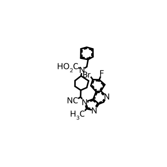 Cc1nc2cnc3cc(F)c(Br)cc3c2n1C(C#N)C1CCC(N(Cc2ccccc2)C(=O)O)CC1